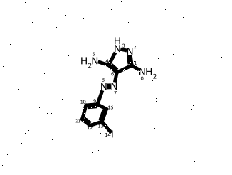 Nc1n[nH]c(N)c1N=Nc1cccc(I)c1